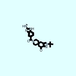 CNc1nc2cc(C(=O)N3CCC4(CC3)CC(=O)c3nn(C(C)(C)C)cc3C4)ccc2[nH]1